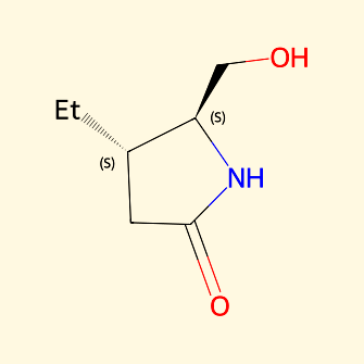 CC[C@H]1CC(=O)N[C@@H]1CO